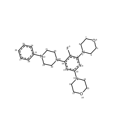 Fc1c(N2CCOCC2)nc(N2CCOCC2)nc1N1CCN(c2ccccc2)CC1